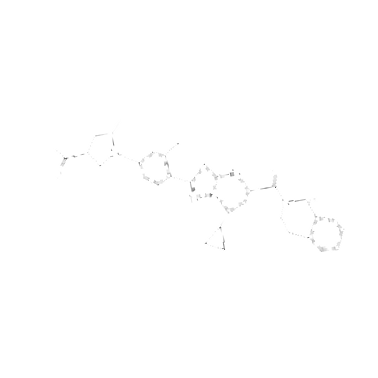 CC1CC(C(=O)O)CN1c1ccc(-c2cc3nc(C(=O)N4CCc5ccccc5[C@H]4C)cc(C4CC4)n3n2)c(F)c1